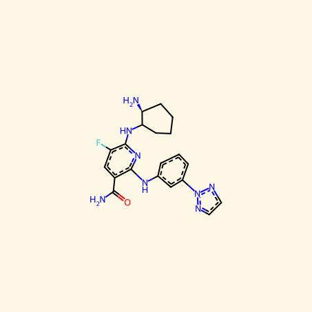 NC(=O)c1cc(F)c(NC2CCCC[C@@H]2N)nc1Nc1cccc(-n2nccn2)c1